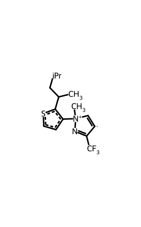 CC(C)CC(C)c1sccc1[N+]1(C)C=[C]C(C(F)(F)F)=N1